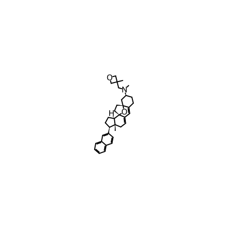 CN(CC1(C)COC1)[C@H]1CCC2=CC3=CC[C@]4(C)[C@@H](c5ccc6ccccc6c5)CC[C@H]4[C@@]34CC[C@]2(C1)O4